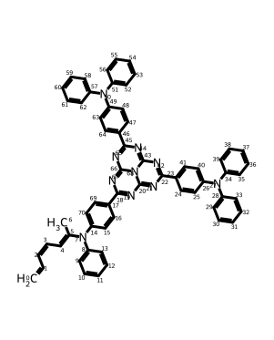 C=C/C=C\C=C(/C)N(c1ccccc1)c1ccc(C2=NC3=NC(c4ccc(N(c5ccccc5)c5ccccc5)cc4)=NC4=NC(c5ccc(N(c6ccccc6)c6ccccc6)cc5)=NC(=N2)N34)cc1